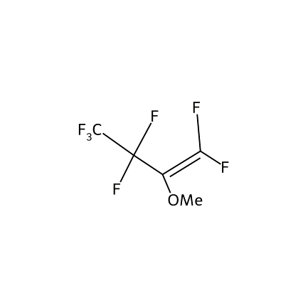 COC(=C(F)F)C(F)(F)C(F)(F)F